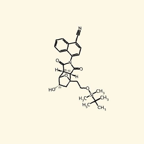 CC(C)(C)[Si](C)(C)OCCC12C[C@H](O)C(O1)[C@@H]1C(=O)N(c3ccc(C#N)c4ccccc34)C(=O)[C@@H]12